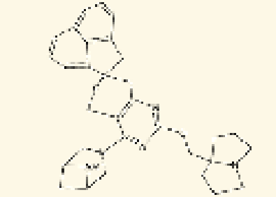 c1cc2c3c(cccc3c1)C1(CCc3c(nc(OCC45CCCN4CCC5)nc3N3CC4CC(C3)N4)C1)C2